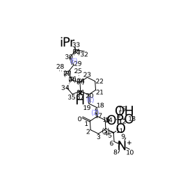 C=C1CC[C@H](C(C[N+](C)(C)C)OP(=O)([O-])O)C/C1=C/C=C1\CCC[C@]2(C)[C@@H]([C@H](C)/C=C/[C@H](C)C(C)C)CC[C@@H]12